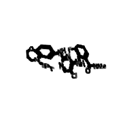 CNC(=O)c1cccc(F)c1Nc1nc(Nc2ccc3c(c2)N(C(C)C)CCCO3)ncc1Cl